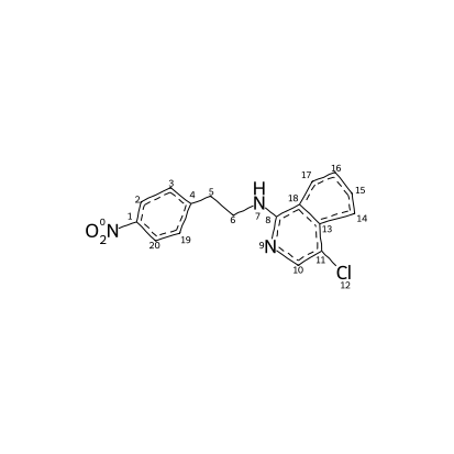 O=[N+]([O-])c1ccc(CCNc2ncc(Cl)c3ccccc23)cc1